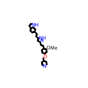 COc1cc(OCc2ccncc2)ccc1/C=C/c1cc(/C=C/c2ccc3cc[nH]c3c2)[nH]n1